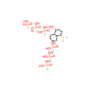 C[S+](C)c1ccc(O)c2ccccc12.O=P(O)(O)F.O=P(O)(O)F.O=P(O)(O)F.O=P(O)(O)F.O=P(O)(O)F.O=P([O-])(O)F